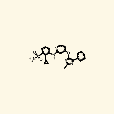 Cc1nc(-c2ccccc2)c(Oc2ccnc(Nc3cccc(S(N)(=O)=O)c3C3CC3)c2)s1